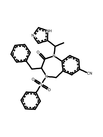 CC(c1cnc[nH]1)N1C(=O)C(Cc2ccccc2)N(S(=O)(=O)c2ccccc2)Cc2cc(C#N)ccc21